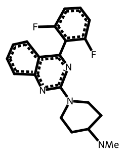 CNC1CCN(c2nc(-c3c(F)cccc3F)c3ccccc3n2)CC1